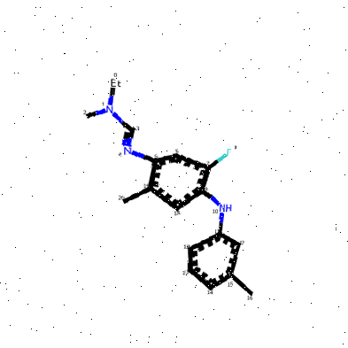 CCN(C)/C=N/c1cc(F)c(Nc2cccc(C)c2)cc1C